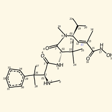 CN[C@H](C(=O)N[C@H](C(=O)N(C)[C@H](/C=C(\C)C(=O)NO)C(C)C)C(C)(C)C)C(C)(C)c1ccccc1